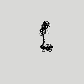 CC(C)(C)OC(=O)N1C(=O)CCC(N2Cc3c(C#CCCCCCCCC(=O)Nc4cccc5c4CN(C4CCC(=O)N(C(=O)OC(C)(C)C)C4=O)C5=O)cccc3C2=O)C1=O